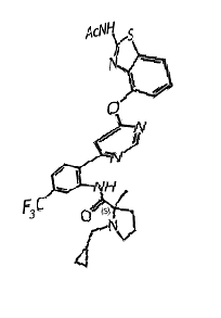 CC(=O)Nc1nc2c(Oc3cc(-c4ccc(C(F)(F)F)cc4NC(=O)[C@]4(C)CCCN4CC4CC4)ncn3)cccc2s1